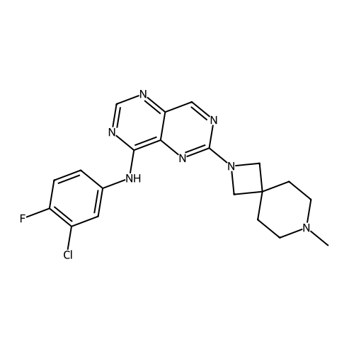 CN1CCC2(CC1)CN(c1ncc3ncnc(Nc4ccc(F)c(Cl)c4)c3n1)C2